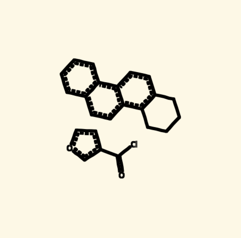 O=C(Cl)c1ccoc1.c1ccc2c(c1)ccc1c3c(ccc12)CCCC3